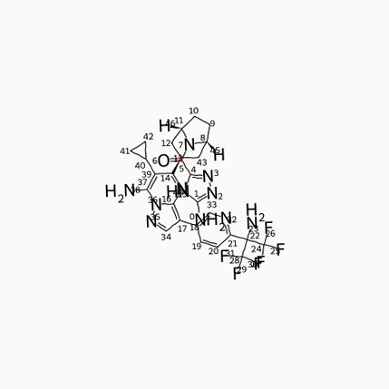 Nc1nnc(C(=O)N2[C@@H]3CC[C@H]2C[C@H](c2nc4c(-c5ccc(C(N)(C(F)(F)F)C(F)(F)F)nc5)cnn4c(N)c2C2CC2)C3)[nH]1